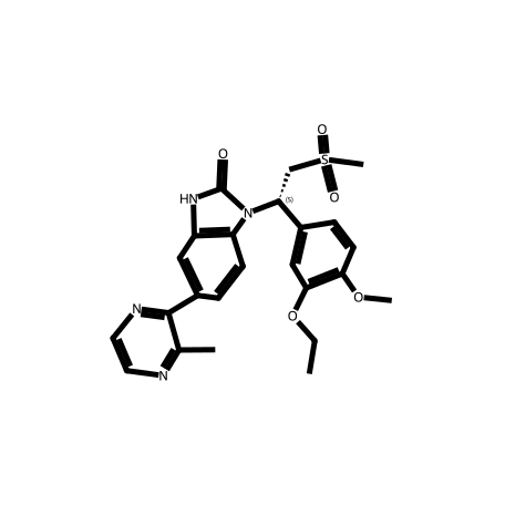 CCOc1cc([C@@H](CS(C)(=O)=O)n2c(=O)[nH]c3cc(-c4nccnc4C)ccc32)ccc1OC